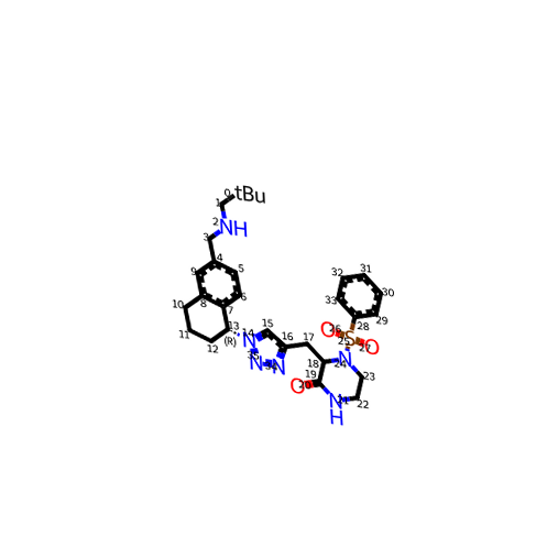 CC(C)(C)CNCc1ccc2c(c1)CCC[C@H]2n1cc(CC2C(=O)NCCN2S(=O)(=O)c2ccccc2)nn1